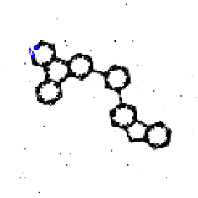 c1cc(-c2ccc3c(c2)-c2ccccc2C3)cc(-c2ccc3c4ccncc4c4ccccc4c3c2)c1